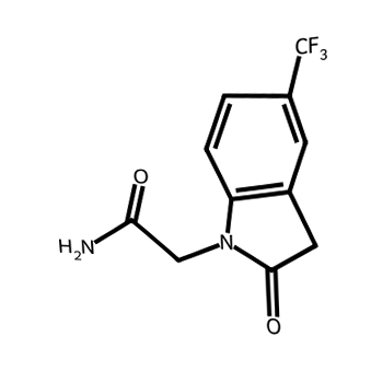 NC(=O)CN1C(=O)Cc2cc(C(F)(F)F)ccc21